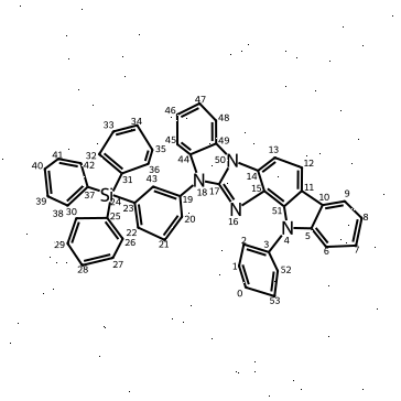 c1ccc(-n2c3ccccc3c3ccc4c(nc5n(-c6cccc([Si](c7ccccc7)(c7ccccc7)c7ccccc7)c6)c6ccccc6n45)c32)cc1